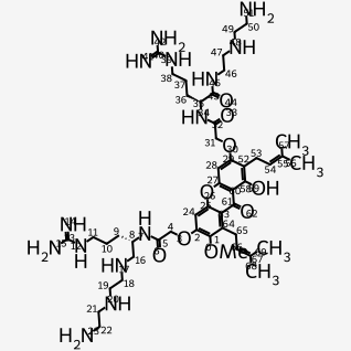 COc1c(OCC(=O)N[C@@H](CCCNC(=N)N)CNCCNCCN)cc2oc3cc(OCC(=O)N[C@@H](CCCNC(=N)N)C(=O)NCCNCCN)c(CC=C(C)C)c(O)c3c(=O)c2c1CC=C(C)C